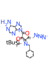 CC(C)(C)[Si](C)(C)O[C@@H]1[C@H](N=Cc2ccccc2)[C@@H](CN=[N+]=[N-])O[C@H]1n1cnc2c(N)ncnc21